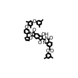 Cc1cc(C)cc(OC(=O)c2ccc3c(=O)[nH]c(C4C(=O)c5cc6c(cc5C4=O)C(=O)N(c4cc(Oc5c(C)cc(Oc7cc(C)cc(C)c7)cc5C)ccc4C4=CC=CC4)C6=O)nc3c2)c1